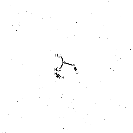 C#N.CN(C)P=O